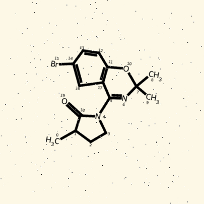 CC1CCN(C2=NC(C)(C)Oc3ccc(Br)cc32)C1=O